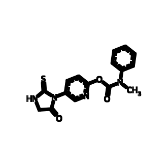 CN(C(=O)Oc1ccc(N2C(=O)CNC2=S)cn1)c1ccccc1